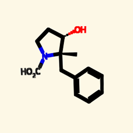 C[C@]1(Cc2ccccc2)[C@@H](O)CCN1C(=O)O